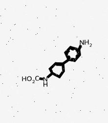 Nc1ccc(C2=CCC(NC(=O)O)CC2)cc1